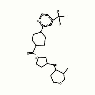 CC1COCCC1NC1CC[C@H](C(=O)N2CCN(c3cc(C(F)(F)F)ccn3)CC2)C1